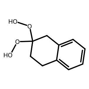 OOC1(OO)CCc2ccccc2C1